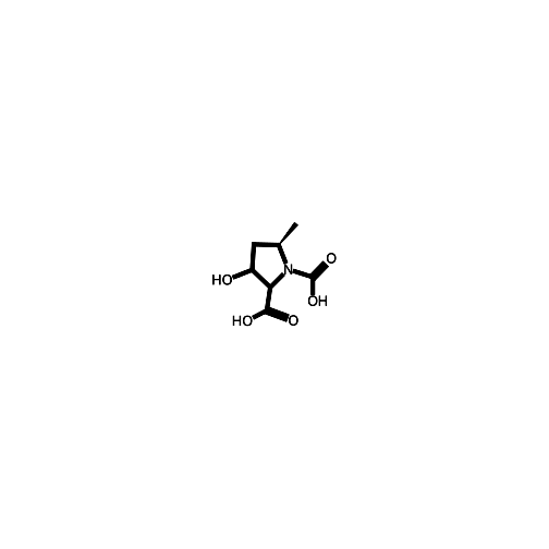 C[C@@H]1CC(O)C(C(=O)O)N1C(=O)O